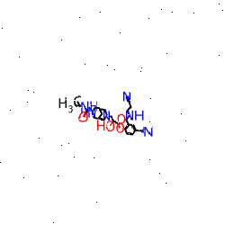 CCNC(=O)N1CC2CC(CN(C[C@H](O)COc3ccc(C#N)cc3C(=O)NCCC#N)C2)C1